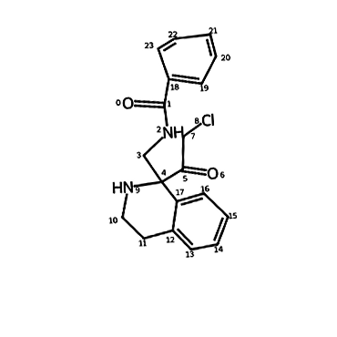 O=C(NCC1(C(=O)CCl)NCCc2ccccc21)c1ccccc1